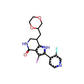 O=C1NCC(CC2COCCO2)c2[nH]c(-c3ccncc3F)c(I)c21